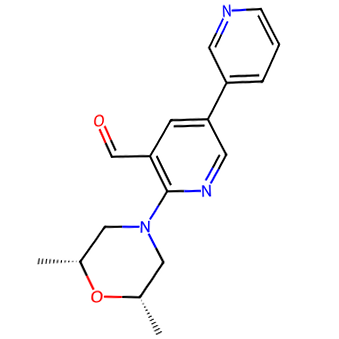 C[C@@H]1CN(c2ncc(-c3cccnc3)cc2C=O)C[C@H](C)O1